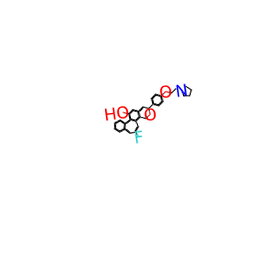 Oc1cc2c(c3c1=c1ccccc1=CC(F)=C3)COC(c1ccc(OCCN3CCCC3)cc1)C=2